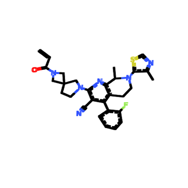 C=CC(=O)N1CC2(CCN(c3nc4c(c(-c5ccccc5F)c3C#N)CCN(c3scnc3C)C4C)C2)C1